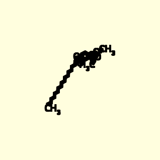 CCCCCCCCCCCCCCCCCCS(=O)(=O)c1ccc(CP(=O)(OCC)OCC)cc1